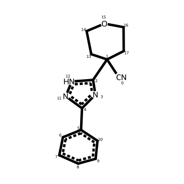 N#CC1(c2nc(-c3ccccc3)n[nH]2)CCOCC1